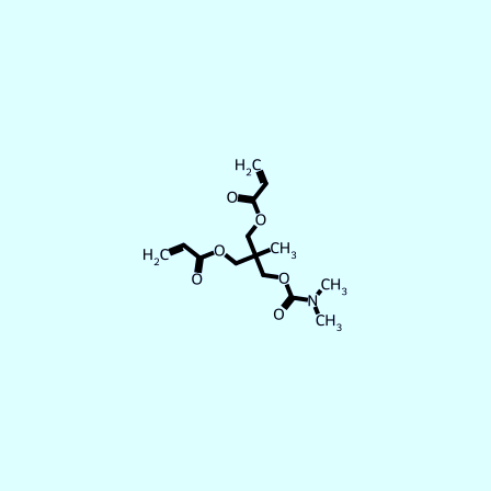 C=CC(=O)OCC(C)(COC(=O)C=C)COC(=O)N(C)C